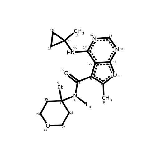 CCC1(N(I)C(=O)c2c(C)oc3ncnc(NC4(C)CC4)c23)CCOCC1